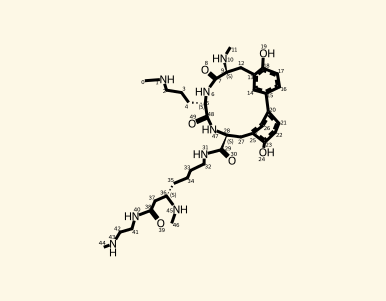 CNCCC[C@@H]1NC(=O)[C@@H](NC)Cc2cc(ccc2O)-c2ccc(O)c(c2)C[C@@H](C(=O)NCCCC[C@@H](CC(=O)NCCNC)NC)NC1=O